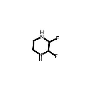 FC1NCCNC1F